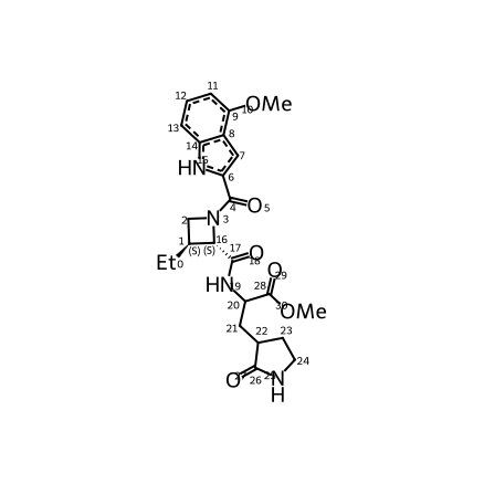 CC[C@H]1CN(C(=O)c2cc3c(OC)cccc3[nH]2)[C@@H]1C(=O)NC(CC1CCNC1=O)C(=O)OC